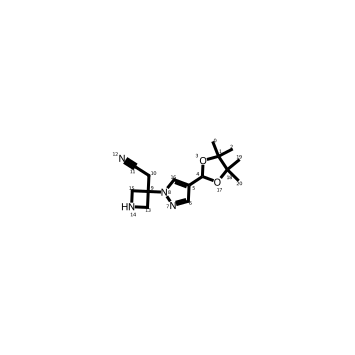 CC1(C)OC(c2cnn(C3(CC#N)CNC3)c2)OC1(C)C